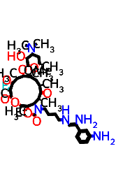 CC[C@H]1OC(=O)[C@@](C)(F)C(=O)[C@H](C)[C@@H](OC2O[C@H](C)C[C@H](N(C)C)[C@H]2O)[C@@](C)(OC)C[C@@H](C)C(=O)[C@H](C)C2N(CCCCN/C=C(\N)c3cccc(N)c3)C(=O)O[C@@]21C